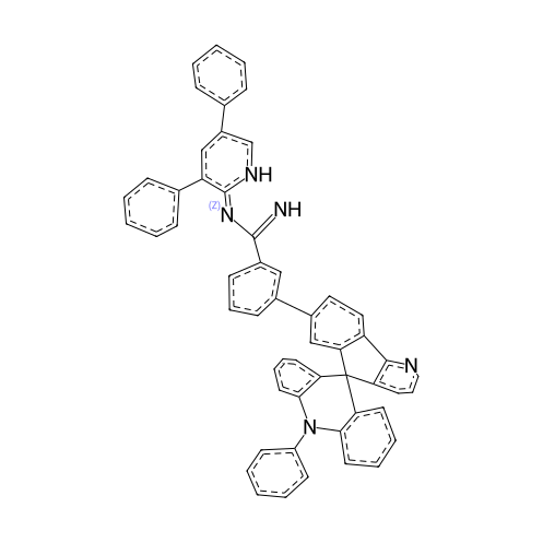 N=C(/N=c1\[nH]cc(-c2ccccc2)cc1-c1ccccc1)c1cccc(-c2ccc3c(c2)C2(c4ccccc4N(c4ccccc4)c4ccccc42)c2cccnc2-3)c1